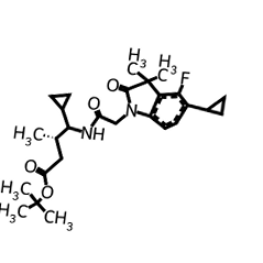 C[C@@H](CC(=O)OC(C)(C)C)C(NC(=O)CN1C(=O)C(C)(C)c2c1ccc(C1CC1)c2F)C1CC1